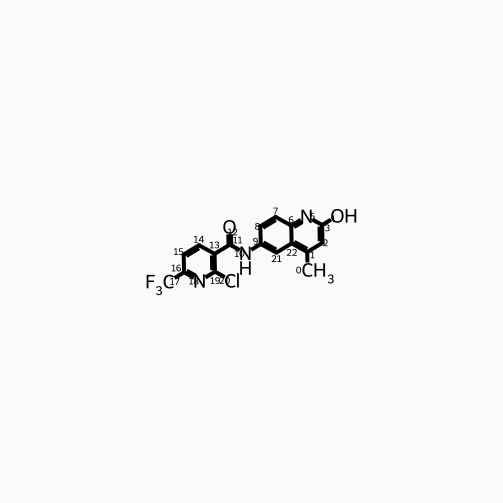 Cc1cc(O)nc2ccc(NC(=O)c3ccc(C(F)(F)F)nc3Cl)cc12